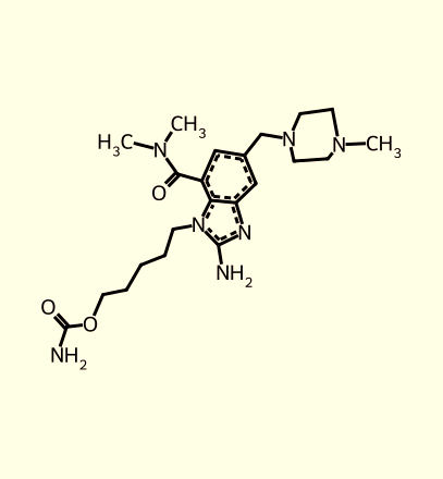 CN1CCN(Cc2cc(C(=O)N(C)C)c3c(c2)nc(N)n3CCCCCOC(N)=O)CC1